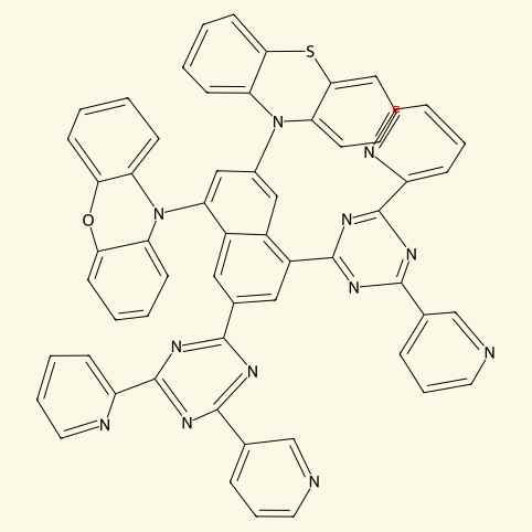 c1ccc(-c2nc(-c3cccnc3)nc(-c3cc(-c4nc(-c5cccnc5)nc(-c5ccccn5)n4)c4cc(N5c6ccccc6Sc6ccccc65)cc(N5c6ccccc6Oc6ccccc65)c4c3)n2)nc1